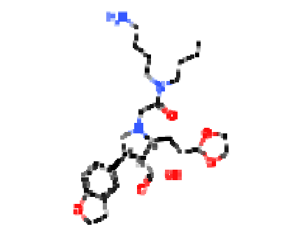 CCCCN(CCCCN)C(=O)CN1C[C@H](c2ccc3c(c2)CCO3)[C@@H](C(=O)O)[C@@H]1CCC1OCCO1